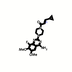 COc1cc2c(N)nc(N3CCN(C(=O)/C=C/C4CC4)CC3)nc2c(F)c1OC